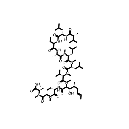 C/C=C/C[C@H](C)[C@H](O)C(C(=O)N[C@@H](CC)C(=O)N(C)CC(=O)N(C)[C@H](C)C(N)=O)N(C)C(=O)[C@H](C(C)C)N(C)C(=O)[C@@H](CC(C)C)N(C)C(=O)[C@@H](CC(C)C)N(C)C(=O)[C@H](C)NC(=O)C(CC)NC(=O)[C@H](CC(C)C)NC(=O)[C@H](C)C(C)C